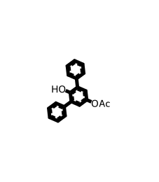 CC(=O)Oc1cc(-c2ccccc2)c(O)c(-c2ccccc2)c1